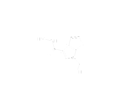 CCn1cc(C(=O)NC)c2ccsc21